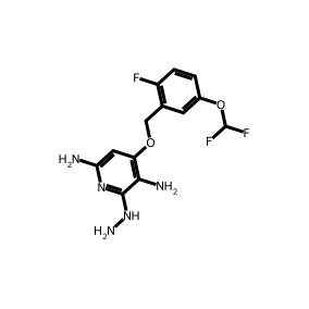 NNc1nc(N)cc(OCc2cc(OC(F)F)ccc2F)c1N